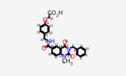 Cn1c(=O)n(Cc2ccccc2)c(=O)c2cc(C(=O)NCc3ccc(OCC(=O)O)cc3)ccc21